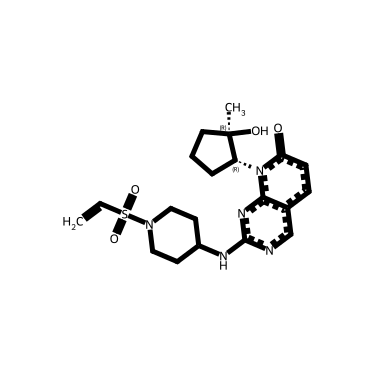 C=CS(=O)(=O)N1CCC(Nc2ncc3ccc(=O)n([C@@H]4CCC[C@@]4(C)O)c3n2)CC1